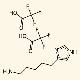 NCCCCCc1c[nH]cn1.O=C(O)C(F)(F)F.O=C(O)C(F)(F)F